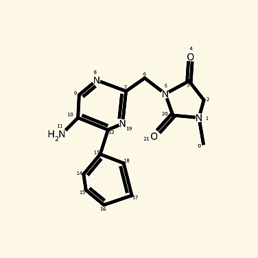 CN1CC(=O)N(Cc2ncc(N)c(-c3ccccc3)n2)C1=O